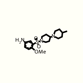 COc1ccc(N)cc1S(=O)(=O)N1CCC(N2CCC(C)CC2)CC1